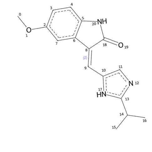 COc1ccc2c(c1)/C(=C/c1cnc(C(C)C)[nH]1)C(=O)N2